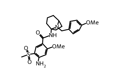 COc1ccc(CN2C3CCCC2(NC(=O)c2cc(S(C)(=O)=O)c(N)cc2OC)CC3)cc1